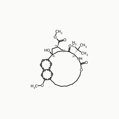 COC(=O)[C@@H]1C[C@]2(O)CN1C(=O)[C@H](C(C)(C)C)NC(=O)OCCCCCCc1cc3cc2ccc3cc1OC